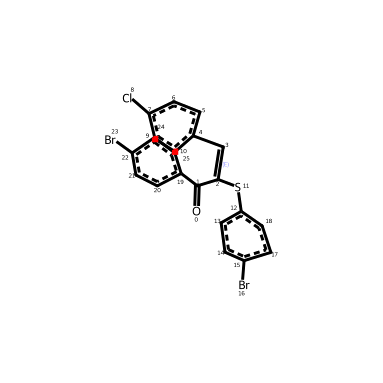 O=C(/C(=C\c1ccc(Cl)cc1)Sc1ccc(Br)cc1)c1ccc(Br)cc1